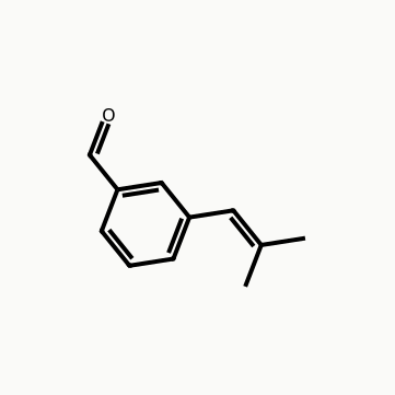 CC(C)=Cc1cccc(C=O)c1